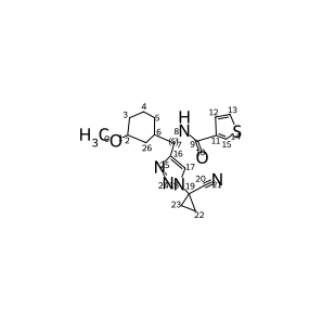 COC1CCCC([C@H](NC(=O)c2ccsc2)c2cn(C3(C#N)CC3)nn2)C1